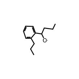 CCCc1ccccc1C([O])CCC